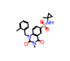 Cc1ccccc1Cn1c(=O)n(C)c(=O)c2cc(S(=O)(=O)NC3(C)CC3)ccc21